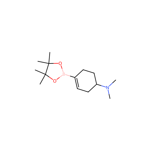 CN(C)C1CC=C(B2OC(C)(C)C(C)(C)O2)CC1